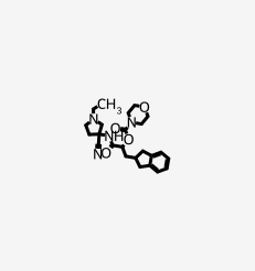 CCN1CCC(C#N)(NC(=O)C(CC2Cc3ccccc3C2)OC(=O)N2CCOCC2)C1